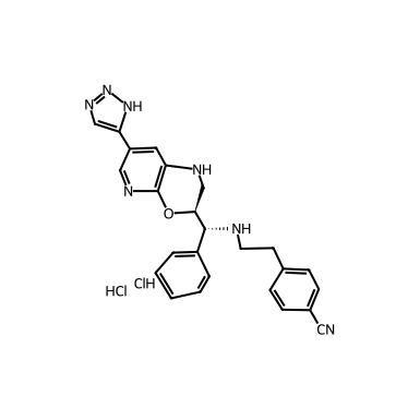 Cl.Cl.N#Cc1ccc(CCN[C@H](c2ccccc2)[C@@H]2CNc3cc(-c4cnn[nH]4)cnc3O2)cc1